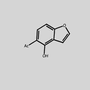 CC(=O)c1ccc2occc2c1O